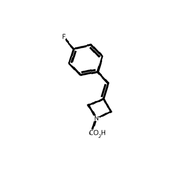 O=C(O)N1CC(=Cc2ccc(F)cc2)C1